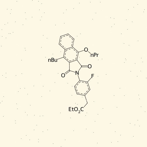 CCCCc1c2c(c(OCCC)c3ccccc13)C(=O)N(c1ccc(CC(=O)OCC)cc1F)C2=O